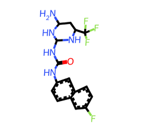 NC1CC(C(F)(F)F)NC(NC(=O)Nc2ccc3cc(F)ccc3c2)N1